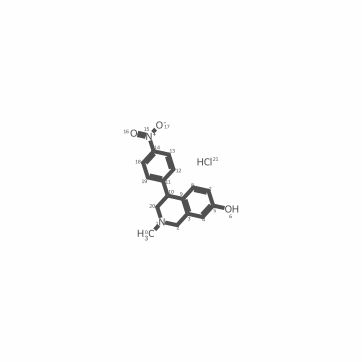 CN1Cc2cc(O)ccc2C(c2ccc([N+](=O)[O-])cc2)C1.Cl